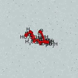 Cc1c(-c2ccc(N3CCc4cccc(C(=O)Nc5nc6ccccc6s5)c4C3)nc2C(=O)O)cnn1CC12CC3(C)CC(C)(C1)CC(OCCN(C)C(=O)[C@H](CS(=O)(=O)O)NC(=O)OCc1ccc(O[C@@H]4O[C@H](C(=O)O)[C@@H](O)[C@H](O)[C@H]4O)c(NC(=O)CCNC(=O)CCCCCN4C(=O)C=CC4=O)c1)(C3)C2